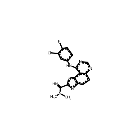 CN(C)C(=N)c1nc2ccc3ncnc(Nc4ccc(F)c(Cl)c4)c3c2s1